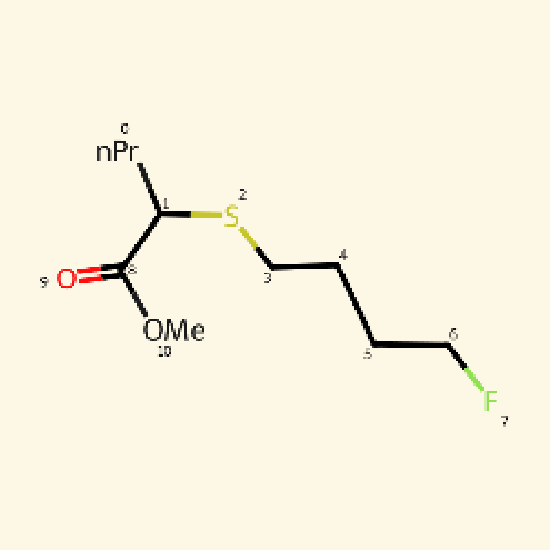 CCCC(SCCCCF)C(=O)OC